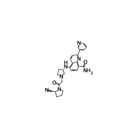 N#C[C@@H]1CCCN1C(=O)CN1CC[C@H](Nc2ccc(C(N)=O)c3nc(-c4cccnc4)ccc23)C1